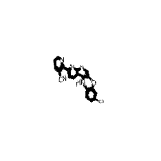 N#Cc1cccnc1-c1ccc2c3c(cnc2n1)Oc1cc(Cl)ccc1N3